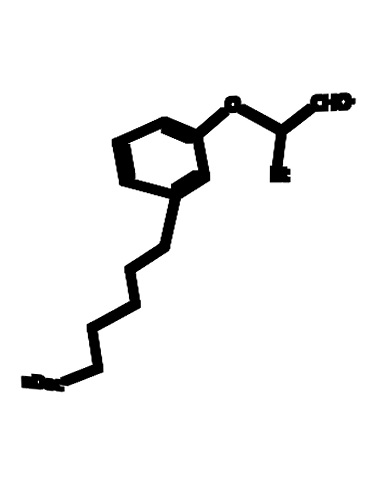 CCCCCCCCCCCCCCCc1cccc(OC([C]=O)CC)c1